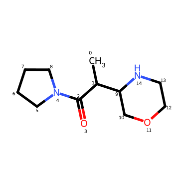 CC(C(=O)N1CCCC1)C1COCCN1